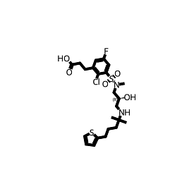 CN(C[C@H](O)CNC(C)(C)CCCc1cccs1)S(=O)(=O)c1cc(F)cc(CCC(=O)O)c1Cl